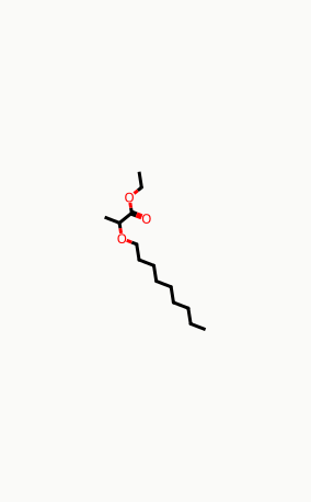 CCCCCCCCCOC(C)C(=O)OCC